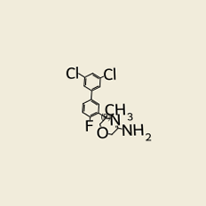 C[C@@]1(c2cc(-c3cc(Cl)cc(Cl)c3)ccc2F)COCC(N)=N1